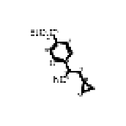 CCOC(=O)c1ccc(C(C#N)CC2CC2)cc1